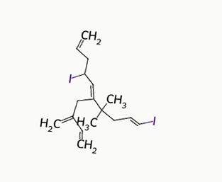 C=CCC(I)/C=C(\CC(=C)C=C)C(C)(C)C/C=C/I